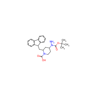 CC(C)(C)OC(=O)N(N)C1CCN(C(=O)O)C(CC2c3ccccc3-c3ccccc32)C1